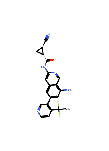 CC(F)(F)c1ccncc1-c1cc(N)c2cnc(NC(=O)[C@@H]3C[C@H]3C#N)cc2c1